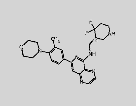 Cc1cc(-c2cc3nccnc3c(NC[C@@H]3CNCCC3(F)F)n2)ccc1N1CCOCC1